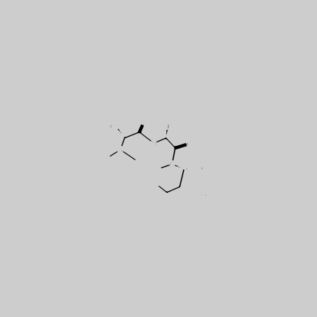 CCOC(=O)C[C@@H](OC)[C@H]([C@@H](C)CC)N(C)C(=O)[C@@H](NC(=O)[C@H](C(C)C)N(C)C)C(C)C